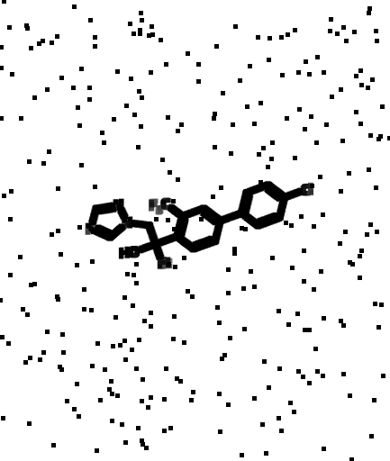 CCC(O)(Cn1cncn1)c1ccc(-c2ccc(Cl)cc2)cc1C(F)(F)F